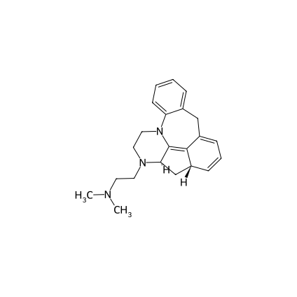 CN(C)CCN1CCN2C3=C4C(=CC=C[C@@H]4C[C@H]31)Cc1ccccc12